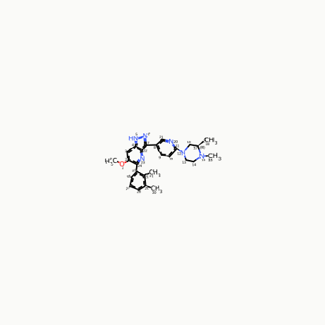 COc1cc2[nH]nc(-c3ccc(N4CCN(C)[C@H](C)C4)nc3)c2nc1-c1cccc(C)c1C